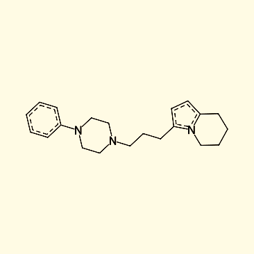 c1ccc(N2CCN(CCCc3ccc4n3CCCC4)CC2)cc1